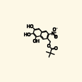 CC(C)(C)C(=O)OCc1cc2c(O)c(O)c(O)cc2cc1[N+](=O)[O-]